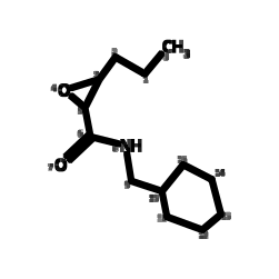 CCCC1OC1C(=O)NCC1CCCCC1